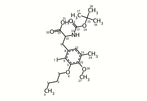 CCCCOc1c(I)c(CC(NC(=O)OC(C)(C)C)C(=O)O)cc(C)c1OC